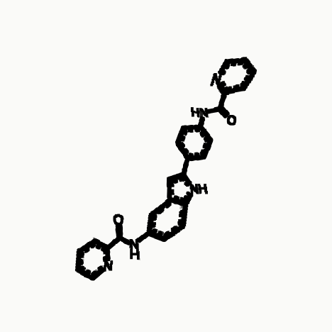 O=C(Nc1ccc(-c2cc3cc(NC(=O)c4ccccn4)ccc3[nH]2)cc1)c1ccccn1